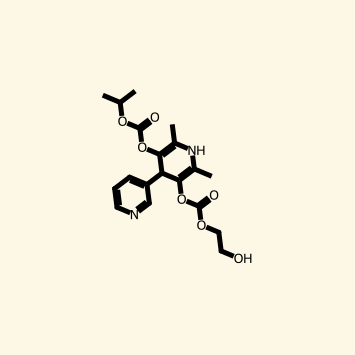 CC1=C(OC(=O)OCCO)C(c2cccnc2)C(OC(=O)OC(C)C)=C(C)N1